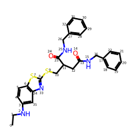 CCNc1ccc2sc(SCC(CC(=O)NCc3ccccc3)C(=O)NCc3ccccc3)nc2c1